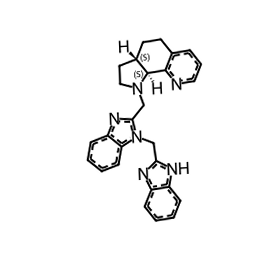 c1cnc2c(c1)CC[C@H]1CCN(Cc3nc4ccccc4n3Cc3nc4ccccc4[nH]3)[C@H]21